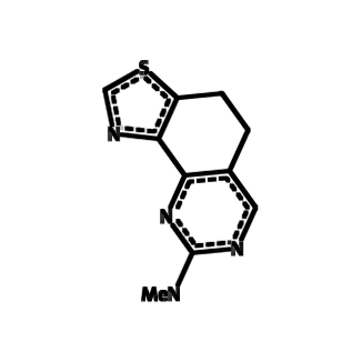 CNc1ncc2c(n1)-c1ncsc1CC2